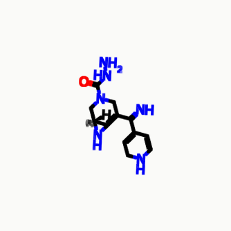 N=C(C1=CCNC=C1)C1=C2N[C@@H]2CN(C(=O)NN)C1